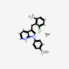 O=C([O-])c1ccc(-n2cc(Cc3c(Cl)cccc3C(F)(F)F)c3cccnc32)cc1.[Na+]